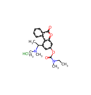 CCN(C)C(=O)Oc1cc(C(C)N(C)C)c2c(c1)oc(=O)c1ccccc12.Cl